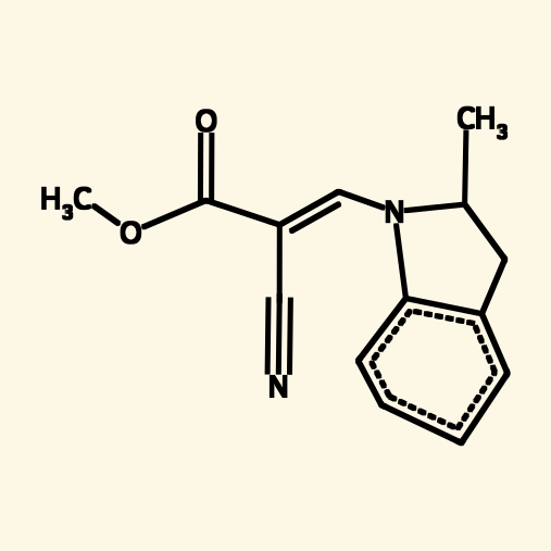 COC(=O)C(C#N)=CN1c2ccccc2CC1C